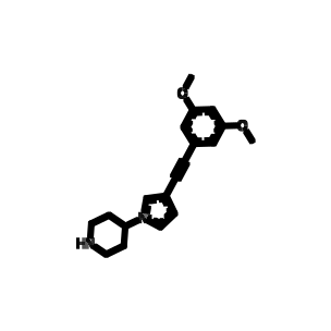 COc1cc(C#Cc2ccn(C3CCNCC3)c2)cc(OC)c1